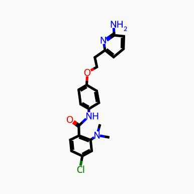 CN(C)c1cc(Cl)ccc1C(=O)Nc1ccc(OCCc2cccc(N)n2)cc1